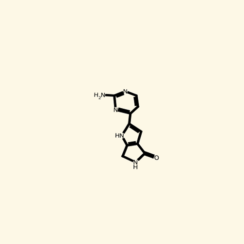 Nc1nccc(-c2cc3c([nH]2)CNC3=O)n1